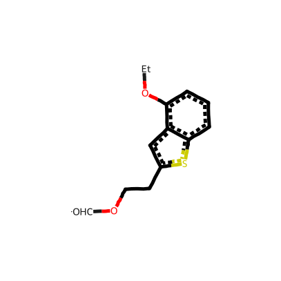 CCOc1cccc2sc(CCO[C]=O)cc12